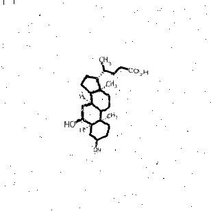 CC(CCC(=O)O)[C@H]1CCC2[C@@H]3CC(O)[C@@H]4CC(O)CC[C@]4(C)C3CC[C@@]21C